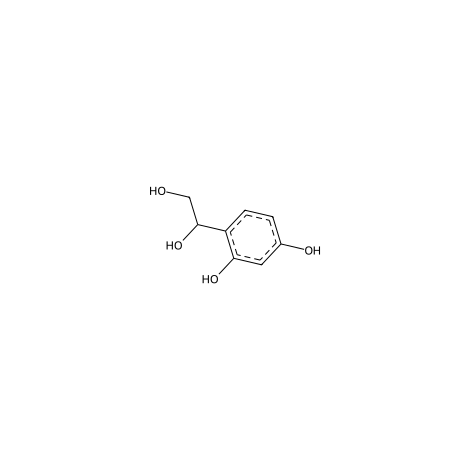 OCC(O)c1ccc(O)cc1O